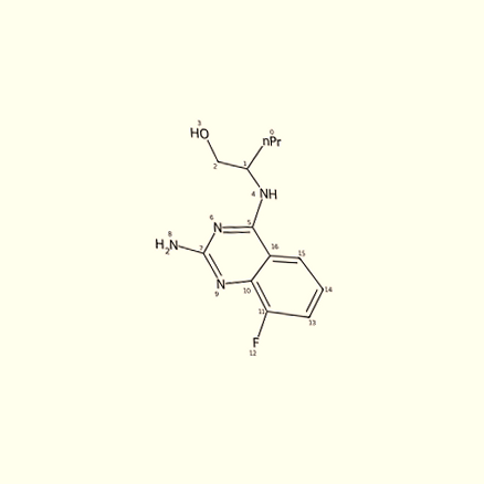 CCCC(CO)Nc1nc(N)nc2c(F)cccc12